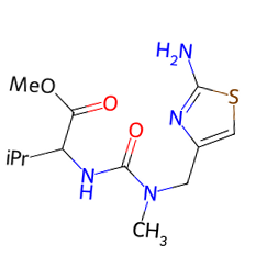 COC(=O)C(NC(=O)N(C)Cc1csc(N)n1)C(C)C